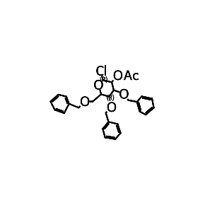 CC(=O)OC1C(OCc2ccccc2)[C@H](OCc2ccccc2)C(COCc2ccccc2)O[C@@H]1Cl